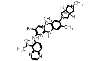 COc1cc(N2C[C@H]3CN(C)C[C@H]3C2)c(C)cc1Nc1ncc(Br)c(Nc2ccc3nccnc3c2P(C)C)n1